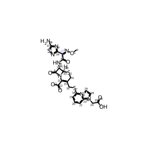 CO/N=C(\C(=O)N[C@@H]1C(=O)N2C(C(=O)[O-])=C(CSc3cccc4n(CC(=O)O)cc[n+]34)CS[C@H]12)c1nsc(N)n1